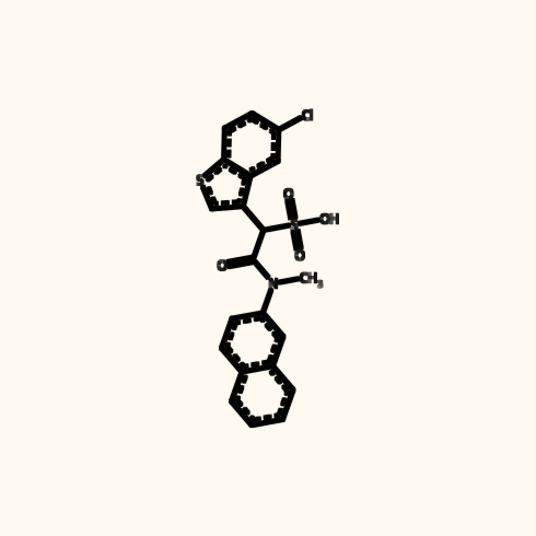 CN(C(=O)C(c1csc2ccc(Cl)cc12)S(=O)(=O)O)c1ccc2ccccc2c1